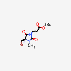 CN1C(=O)N(CCC(=O)OC(C)(C)C)C(=O)/C1=C/Br